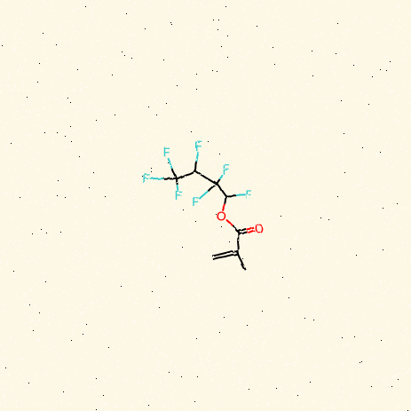 C=C(C)C(=O)OC(F)C(F)(F)C(F)C(F)(F)F